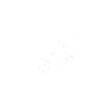 CCOC(=O)c1cnc2c(NC(=O)c3c(Cl)cccc3Cl)cccc2c1CC(=O)N(C)C